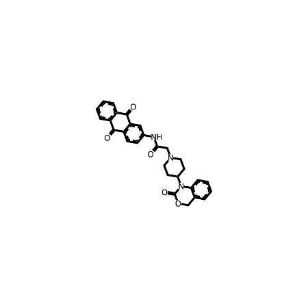 O=C(CN1CCC(N2C(=O)OCc3ccccc32)CC1)Nc1ccc2c(c1)C(=O)c1ccccc1C2=O